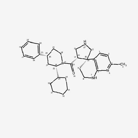 Cc1ccc2c(n1)NCC[C@]21CNC[C@H]1C(=O)N1CC[C@@H](c2ccccc2)C[C@H]1C1CCCCC1